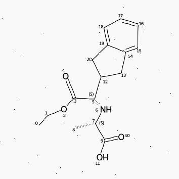 CCOC(=O)[C@@H](N[C@@H](C)C(=O)O)C1Cc2ccccc2C1